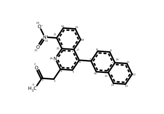 CC(=O)Cc1cc(-c2ccc3ccccc3c2)c2cccc([N+](=O)[O-])c2n1